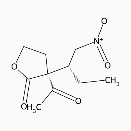 CC[C@@H](C[N+](=O)[O-])[C@]1(C(C)=O)CCOC1=O